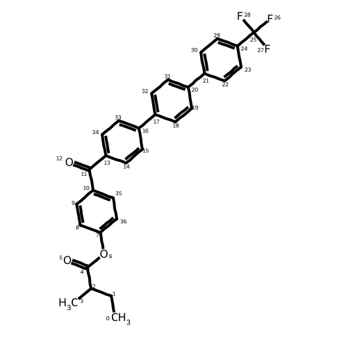 CCC(C)C(=O)Oc1ccc(C(=O)c2ccc(-c3ccc(-c4ccc(C(F)(F)F)cc4)cc3)cc2)cc1